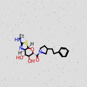 CCNC1=N[C@@H]2[C@@H](O)[C@H](O)[C@@H](C(=O)N3CCC(CCc4ccccc4)C3)O[C@@H]2S1